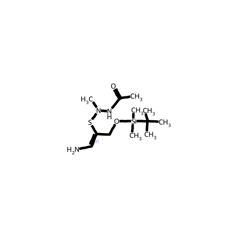 CC(=O)NN(C)S/C(=C\N)CO[Si](C)(C)C(C)(C)C